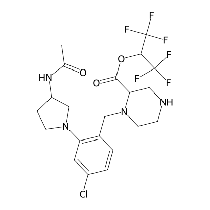 CC(=O)NC1CCN(c2cc(Cl)ccc2CN2CCNCC2C(=O)OC(C(F)(F)F)C(F)(F)F)C1